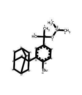 C[SiH](C)OC(C)(O)c1ccc(C(C)(C)C)c(C23CC4CC(CC(C4)C2)C3)c1